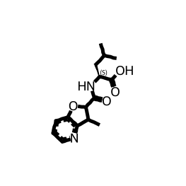 CC(C)C[C@H](NC(=O)C1Oc2cccnc2C1C)C(=O)O